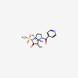 CCC[C@H]1C(=O)N(S(C)(=O)=O)[C@H]2CCN(C(=O)c3ccncc3)[C@H]12